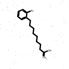 C=C(O)CCCCCCCCc1ccccc1C(C)=O